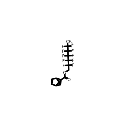 O=C(OCC(F)(F)C(F)(F)C(F)(F)C(F)(F)C(F)(F)C(F)(F)F)C1=CC2C=CC1C2